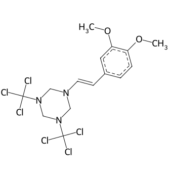 COc1ccc(C=CN2CN(C(Cl)(Cl)Cl)CN(C(Cl)(Cl)Cl)C2)cc1OC